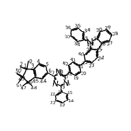 CC1(C)c2ccc(-c3nc(-c4ccccc4)nc(-c4ccc(-c5ccc6c7ccccc7n(-c7ccccc7)c6c5)cc4)n3)cc2C(C)(C)C1(C)C